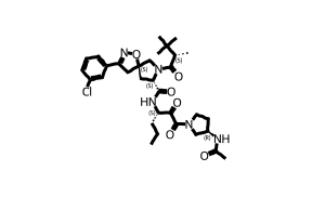 CCC[C@H](NC(=O)[C@@H]1C[C@]2(CC(c3cccc(Cl)c3)=NO2)CN1C(=O)[C@@H](C)C(C)(C)C)C(=O)C(=O)N1CC[C@@H](NC(C)=O)C1